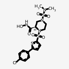 CN(C)S(=O)(=O)N1CCN(S(=O)(=O)c2ccc(-c3ccc(Cl)cc3)s2)[C@@H](C(=O)NO)C1